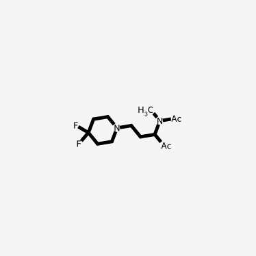 CC(=O)C(CCN1CCC(F)(F)CC1)N(C)C(C)=O